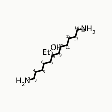 CCO.NCCCCCCCCCCCCN